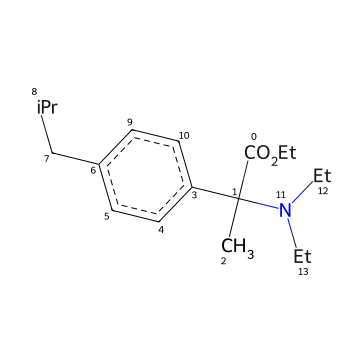 CCOC(=O)C(C)(c1ccc(CC(C)C)cc1)N(CC)CC